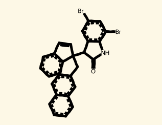 O=C1Nc2c(Br)cc(Br)cc2C1C1(Cc2ccc3ccccc3c2)C=Cc2ccccc21